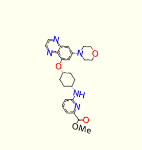 COC(=O)c1cccc(N[C@H]2CC[C@@H](Oc3cc(N4CCOCC4)cc4nccnc34)CC2)n1